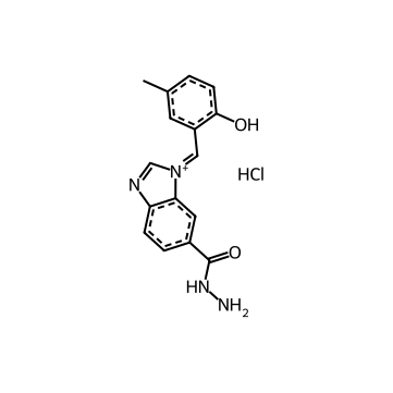 Cc1ccc(O)c(C=[N+]2C=Nc3ccc(C(=O)NN)cc32)c1.Cl